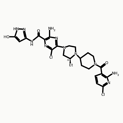 CC[C@H]1CN(c2nc(N)c(C(=O)Nc3cc(O)[nH]n3)nc2Cl)CCN1C1CCN(C(=O)c2ccc(Cl)nc2N)CC1